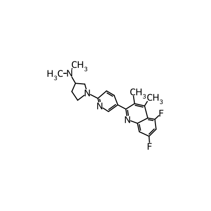 Cc1c(-c2ccc(N3CCC(N(C)C)C3)nc2)nc2cc(F)cc(F)c2c1C